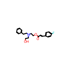 O=C(C=Cc1ccc(F)cc1)OCCN(CCO)CCc1ccccc1